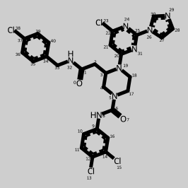 O=C(CC1CN(C(=O)Nc2ccc(Cl)c(Cl)c2)CCN1c1cc(Cl)nc(-n2ccnc2)n1)NCc1ccc(Cl)cc1